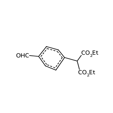 CCOC(=O)C(C(=O)OCC)c1ccc(C=O)cc1